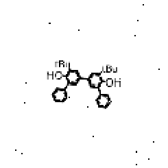 CC(C)(C)c1cc(-c2cc(-c3ccccc3)c(O)c(C(C)(C)C)c2)cc(-c2ccccc2)c1O